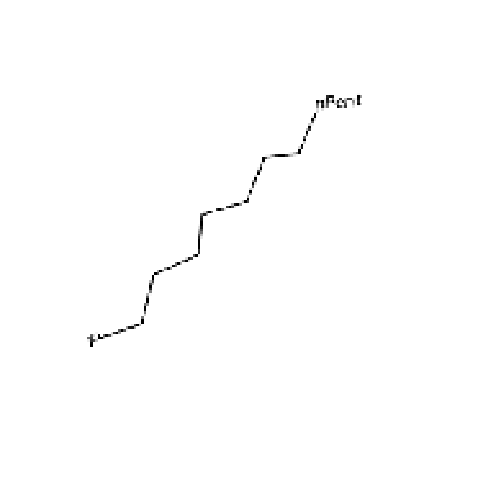 CCCCCCCCCCCC[P]